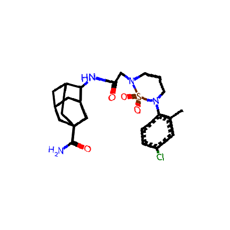 Cc1cc(Cl)ccc1N1CCCN(CC(=O)NC2C3CC4CC2CC(C(N)=O)(C4)C3)S1(=O)=O